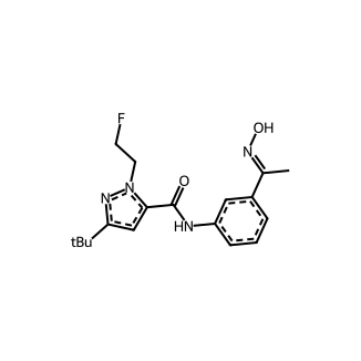 CC(=NO)c1cccc(NC(=O)c2cc(C(C)(C)C)nn2CCF)c1